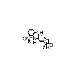 Cc1cccc([N+](=O)[O-])c1NC(=O)C=C1SCC(=O)N1C